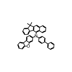 CC1(C)c2ccccc2-c2c1cc1ccccc1c2N(c1ccc(-c2ccccc2)cc1)c1ccc2c(c1)oc1ccccc12